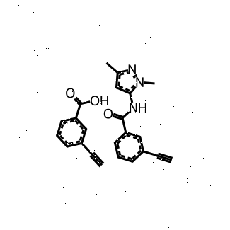 C#Cc1cccc(C(=O)Nc2cc(C)nn2C)c1.C#Cc1cccc(C(=O)O)c1